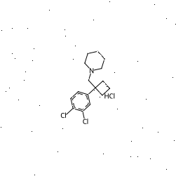 Cl.Clc1ccc(C2(CN3CCCCC3)CCC2)cc1Cl